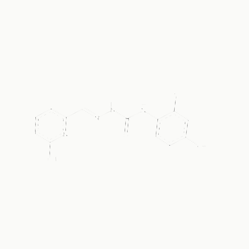 Cc1ccc(NC(=O)NN=Cc2cccc(C)n2)c(C)c1